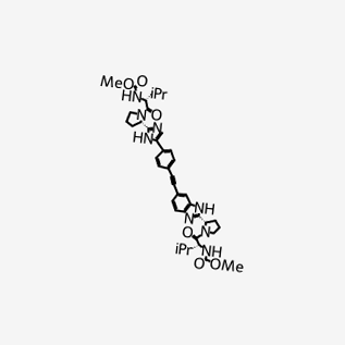 COC(=O)N[C@@H](C(=O)N1CCC[C@H]1c1ncc(-c2ccc(C#Cc3ccc4nc([C@@H]5CCCN5C(=O)[C@H](NC(=O)OC)C(C)C)[nH]c4c3)cc2)[nH]1)C(C)C